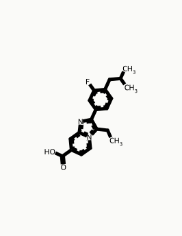 CCc1c(-c2ccc(CC(C)C)c(F)c2)nc2cc(C(=O)O)ccn12